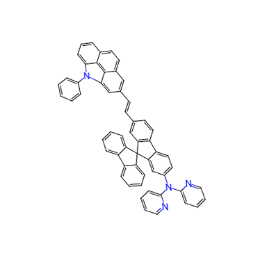 C(=C\c1cc2ccc3cccc4c3c2c(c1)n4-c1ccccc1)/c1ccc2c(c1)C1(c3ccccc3-c3ccccc31)c1cc(N(c3ccccn3)c3ccccn3)ccc1-2